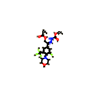 COC(=O)N/N=C(\COC(C)=O)c1cc(F)c(N2CCOCC2)c(C(F)(F)F)c1